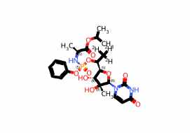 [2H]C([2H])([2H])C(O[P@@](=O)(N[C@@H](C)C(=O)OC(C)C)Oc1ccccc1)[C@H]1O[C@@H](n2ccc(=O)[nH]c2=O)[C@](C)(O)[C@@H]1O